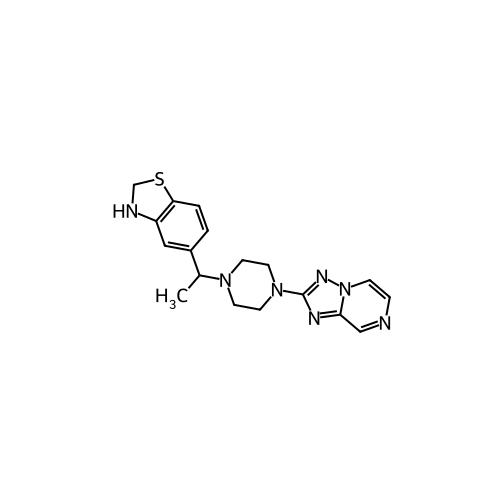 CC(c1ccc2c(c1)NCS2)N1CCN(c2nc3cnccn3n2)CC1